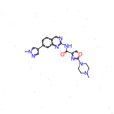 CN1CCN(c2nc(C(=O)Nc3ncc4ccc(-c5cnn(C)c5)cc4n3)co2)CC1